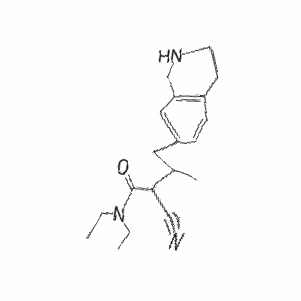 CCN(CC)C(=O)C(C#N)C(C)Cc1ccc2c(c1)CNCC2